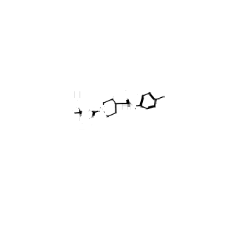 CC(C)(C)OC(=O)N1CCC(C(=O)Nc2ccc(I)cc2)CC1